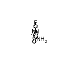 NC(=O)c1ccccc1CC[CH]c1nc(-c2ccc(F)cc2)no1